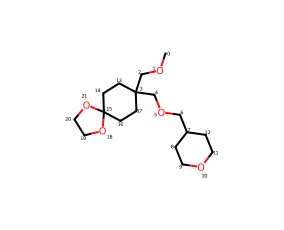 COCC1(COCC2CCOCC2)CCC2(CC1)OCCO2